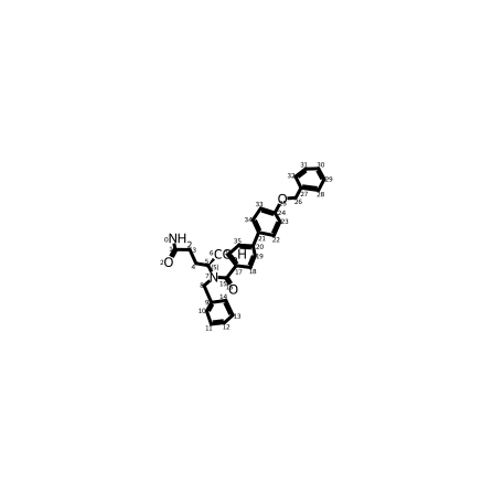 NC(=O)CC[C@@H](C(=O)O)N(Cc1ccccc1)C(=O)c1ccc(-c2ccc(OCc3ccccc3)cc2)cc1